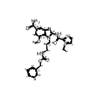 CCn1ccnc1C(=O)Nc1nc2cc(C(N)=O)cc(OC)c2n1CCCNC(=O)OCc1ccccc1